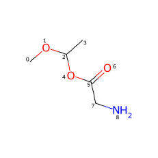 COC(C)OC(=O)CN